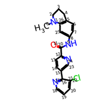 CN1CCCc2ccc(NC(=O)c3ccc(-c4ncccc4Cl)cn3)cc21